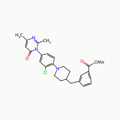 COC(=O)c1cccc(CC2CCN(c3ccc(-n4c(C)nc(C)cc4=O)cc3Cl)CC2)c1